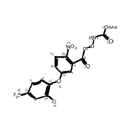 COC(=O)NOOC(=O)c1cc(Oc2ccc(C(F)(F)F)cc2Cl)ccc1[N+](=O)[O-]